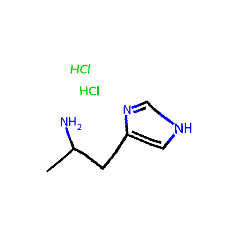 CC(N)Cc1c[nH]cn1.Cl.Cl